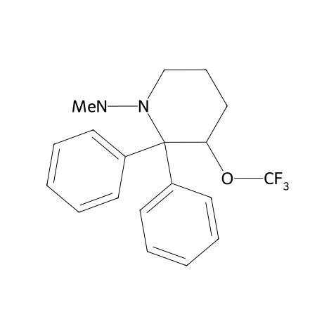 CNN1CCCC(OC(F)(F)F)C1(c1ccccc1)c1ccccc1